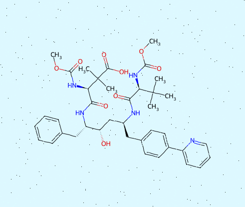 COC(=O)N[C@H](C(=O)N[C@@H](Cc1ccc(-c2ccccn2)cc1)C[C@H](O)[C@H](Cc1ccccc1)NC(=O)[C@@H](NC(=O)OC)C(C)(C)C(=O)O)C(C)(C)C